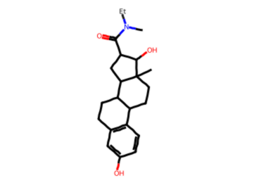 CCN(C)C(=O)C1CC2C3CCc4cc(O)ccc4C3CCC2(C)C1O